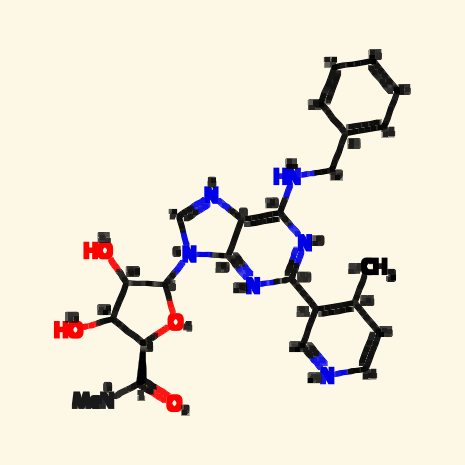 CNC(=O)[C@@H]1OC(n2cnc3c(NCc4ccccc4)nc(-c4cnccc4C)nc32)C(O)C1O